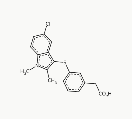 Cc1c(Sc2cccc(CC(=O)O)c2)c2cc(Cl)ccc2n1C